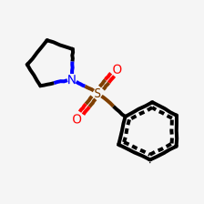 O=S(=O)(c1c[c]ccc1)N1CCCC1